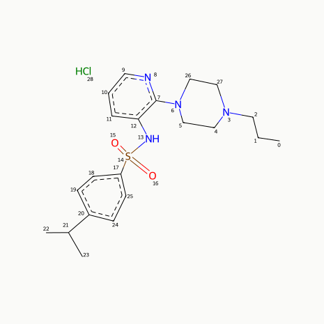 CCCN1CCN(c2ncccc2NS(=O)(=O)c2ccc(C(C)C)cc2)CC1.Cl